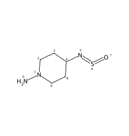 NN1CCC(N=S=O)CC1